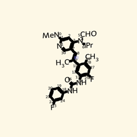 CNc1cc(N(C=O)C(C)C)c(/C=C(\C)c2cc(NC(=O)Nc3cccc(F)c3)c(F)cc2C)cn1